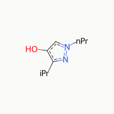 CCCn1cc(O)c(C(C)C)n1